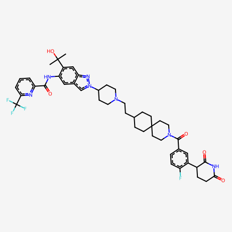 CC(C)(O)c1cc2nn(C3CCN(CCC4CCC5(CC4)CCN(C(=O)c4ccc(F)c(C6CCC(=O)NC6=O)c4)CC5)CC3)cc2cc1NC(=O)c1cccc(C(F)(F)F)n1